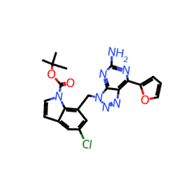 CC(C)(C)OC(=O)n1ccc2cc(Cl)cc(Cn3nnc4c(-c5ccco5)nc(N)nc43)c21